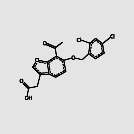 CC(=O)c1c(OCc2ccc(Cl)cc2Cl)ccc2c(CC(=O)O)coc12